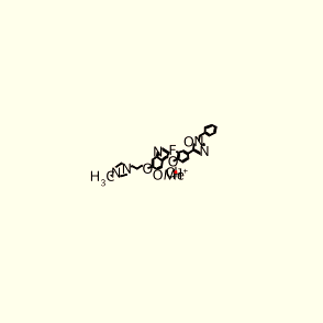 COc1cc2c(Oc3ccc(-c4cncn(Cc5ccccc5)c4=O)cc3F)ccnc2cc1OCCCN1CCN(C)CC1.[Cl-].[H+]